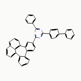 c1ccc(-c2ccc(-c3nc(-c4ccccc4)nc(-c4ccc5c(c4)-c4cccc6cccc(c46)-c4ccccc4-5)n3)cc2)cc1